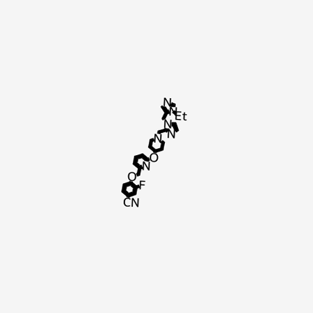 CCn1cncc1Cn1ccnc1CN1CCC(Oc2cccc(COc3ccc(C#N)cc3F)n2)CC1